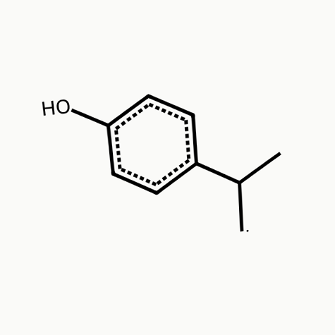 [CH2]C(C)c1ccc(O)cc1